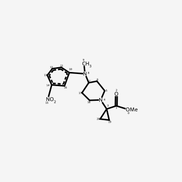 COC(=O)C1(N2CCC(N(C)c3cccc([N+](=O)[O-])c3)CC2)CC1